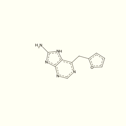 Nc1nc2ncnc(Cc3ccco3)c2[nH]1